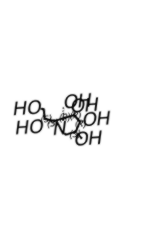 OC[C@@H](O)[C@H]1N2C[C@H](O)[C@@H](O)[C@H](O)[C@]12CO